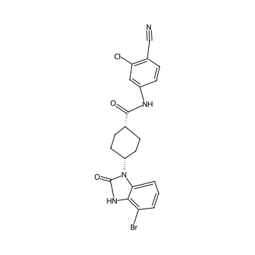 N#Cc1ccc(NC(=O)[C@H]2CC[C@@H](n3c(=O)[nH]c4c(Br)cccc43)CC2)cc1Cl